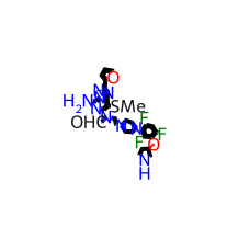 CSc1c(N(C=O)CCN2CCN(c3cc(O[C@H]4CNC[C@H]4F)c(F)cc3F)CC2)nc(N)n2nc(-c3ccco3)nc12